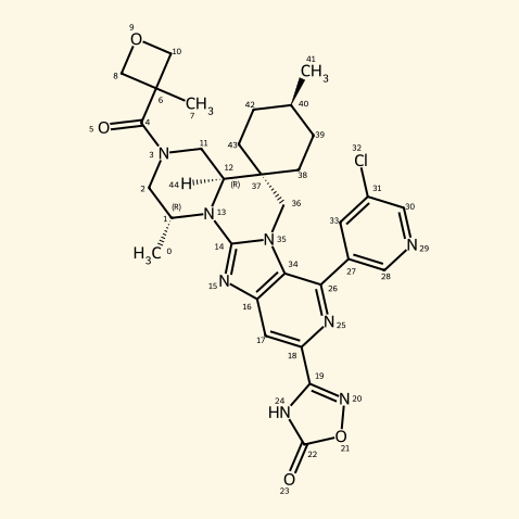 C[C@@H]1CN(C(=O)C2(C)COC2)C[C@@H]2N1c1nc3cc(-c4noc(=O)[nH]4)nc(-c4cncc(Cl)c4)c3n1C[C@]21CC[C@H](C)CC1